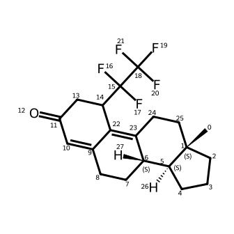 C[C@@]12CCC[C@H]1[C@@H]1CCC3=CC(=O)CC(C(F)(F)C(F)(F)F)C3=C1CC2